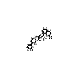 CN1C(=O)CCc2cccc(OCC(O)CN3CCC(c4ccccc4)CC3)c21